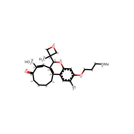 CCc1cc2c(cc1OCCCOC)OC(C1(C)COC1)C1=C2CCCCC(=O)/C(C(=O)O)=C\1